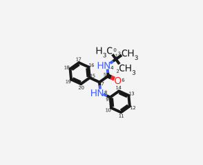 CC(C)(C)NC(=O)C(Nc1ccccc1)c1ccccc1